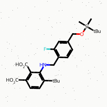 CC(C)(C)c1ccc(C(=O)O)c(C(=O)O)c1NCc1ccc(CO[Si](C)(C)C(C)(C)C)cc1F